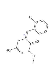 CCOC(=O)/C(=C\c1ccccc1F)CC(=O)O